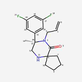 C=CCN1C(=O)C2(CCCC2)NC[C@@]1(C)c1cc(F)cc(F)c1